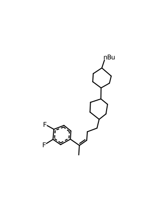 CCCCC1CCC(C2CCC(CCC=C(C)c3ccc(F)c(F)c3)CC2)CC1